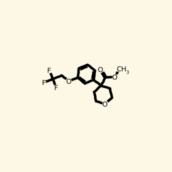 COC(=O)C1(c2cccc(OCC(F)(F)F)c2)CCOCC1